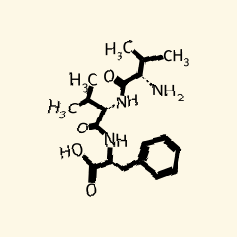 CC(C)[C@H](N)C(=O)N[C@H](C(=O)N[C@@H](Cc1ccccc1)C(=O)O)C(C)C